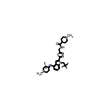 CN1CCC(C(=O)NCc2nnc(-c3cc4c(/N=C5\CCN(C)C[C@@H]5F)cccc4n3CC(F)(F)F)s2)CC1